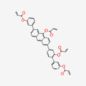 C=CC(=O)Oc1cccc(-c2ccc3cc4cc(-c5ccc(-c6cccc(OC(=O)C=C)c6)c(OC(=O)C=C)c5)ccc4c(OC(=O)C=C)c3c2)c1